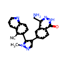 Cn1ncc(-c2ccc3c(=O)[nH]nc(CN)c3c2)c1-c1ccc2ncccc2c1C#N